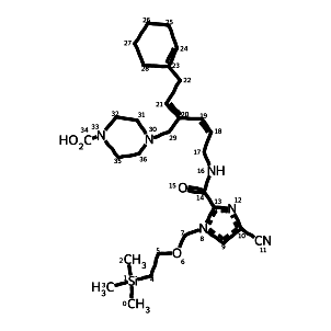 C[Si](C)(C)CCOCn1cc(C#N)nc1C(=O)NC/C=C\C(=C/CC1=CCCCC1)CN1CCN(C(=O)O)CC1